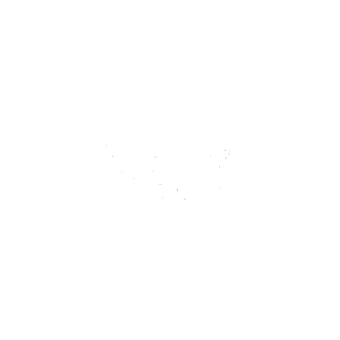 c1ccc([Si](c2ccccc2)(c2cccc(-c3ccc4c(c3)-n3c(nc5ccccc53)SC4)c2)c2cccc(-c3cccc4c3sc3ccccc34)c2)cc1